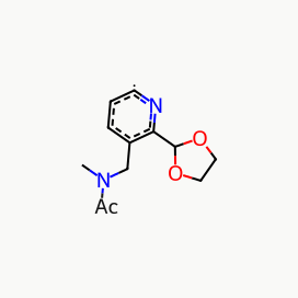 CC(=O)N(C)Cc1cc[c]nc1C1OCCO1